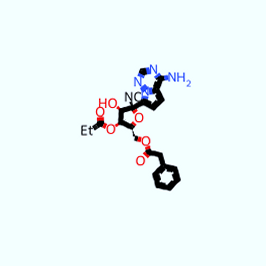 CCC(=O)O[C@H]1[C@@H](O)[C@](C#N)(c2ccc3c(N)ncnn23)O[C@@H]1COC(=O)Cc1ccccc1